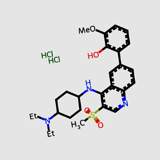 CCN(CC)C1CCC(Nc2c(S(C)(=O)=O)cnc3ccc(-c4cccc(OC)c4O)cc23)CC1.Cl.Cl